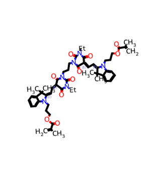 C=C(C)C(=O)OCCCN1/C(=C/C=C2\C(=O)N(CC)C(=O)N(CCCN3C(=O)/C(=C/C=C4/N(CCCOC(=O)C(=C)C)c5ccccc5C4(C)C)C(=O)N(CC)C3=O)C2=O)C(C)(C)c2ccccc21